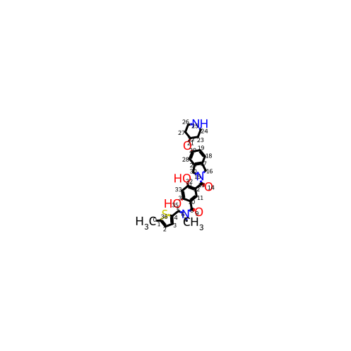 Cc1ccc(CN(C)C(=O)c2cc(C(=O)N3Cc4ccc(OC5CCNCC5)cc4C3)c(O)cc2O)s1